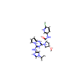 CO[C@H]1C[C@@H](C(=O)Nc2ccc(F)nc2)N(c2nc(Nc3cn(C(C)C)cn3)n3cccc3n2)C1